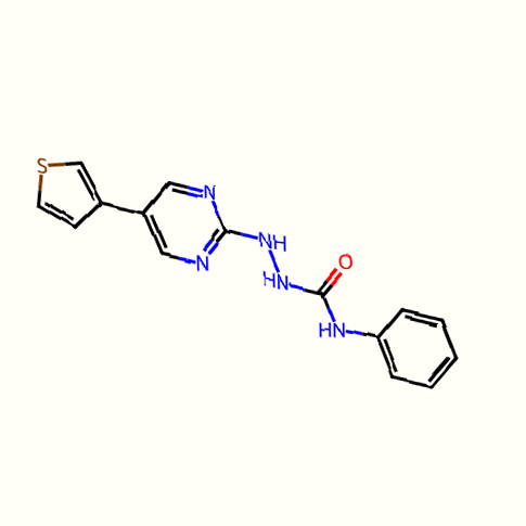 O=C(NNc1ncc(-c2ccsc2)cn1)Nc1ccccc1